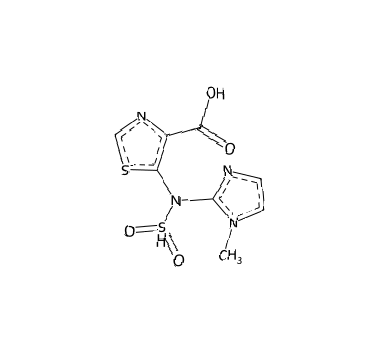 Cn1ccnc1N(c1scnc1C(=O)O)[SH](=O)=O